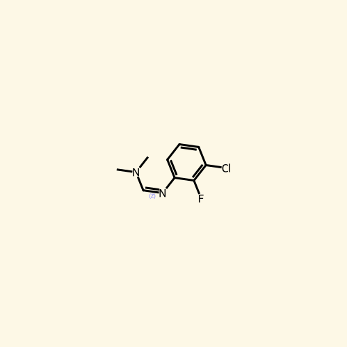 CN(C)/C=N\c1cccc(Cl)c1F